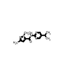 Cc1cc(C(=O)N(C)c2ncc(C(C)C)cn2)n(C)n1